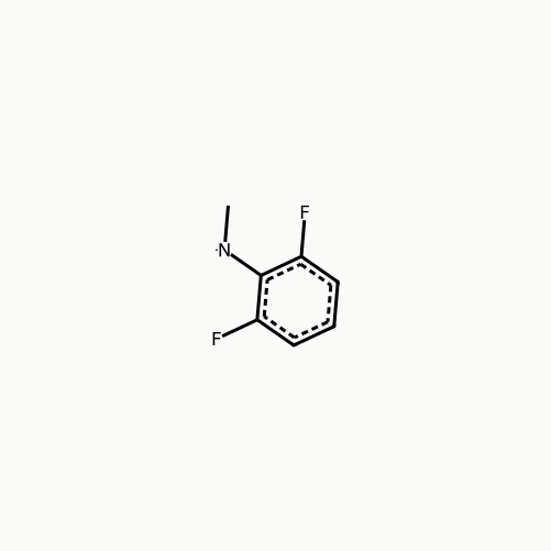 C[N]c1c(F)cccc1F